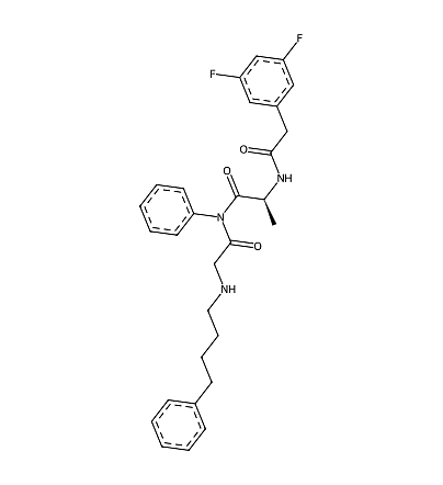 C[C@H](NC(=O)Cc1cc(F)cc(F)c1)C(=O)N(C(=O)CNCCCCc1ccccc1)c1ccccc1